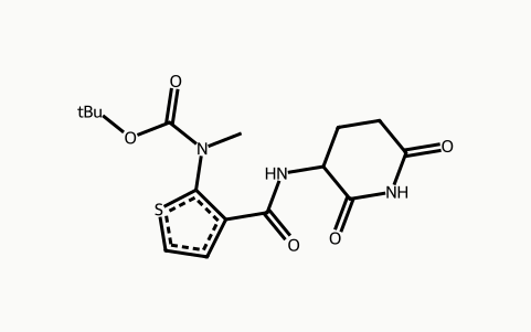 CN(C(=O)OC(C)(C)C)c1sccc1C(=O)NC1CCC(=O)NC1=O